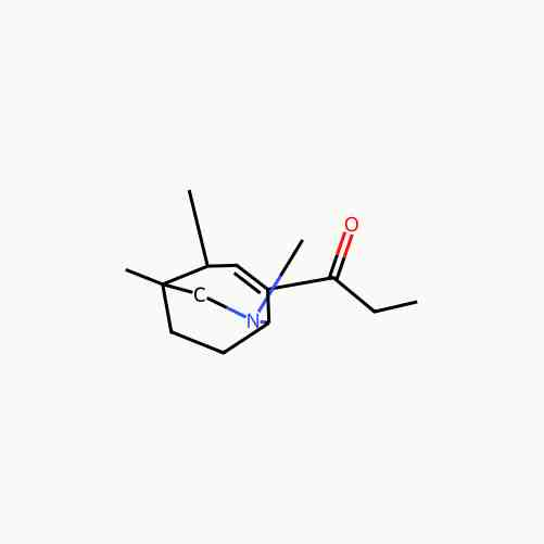 CCC(=O)C1=CC(C)C2(C)CCC1N(C)C2